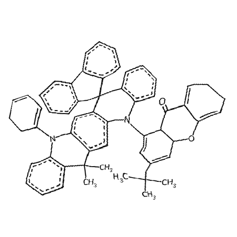 CC(C)(C)C1=CC2OC3=CCCC=C3C(=O)C2C(N2c3ccccc3C3(c4ccccc4-c4ccccc43)c3cc4c(cc32)C(C)(C)c2ccccc2N4C2=CC=CCC2)=C1